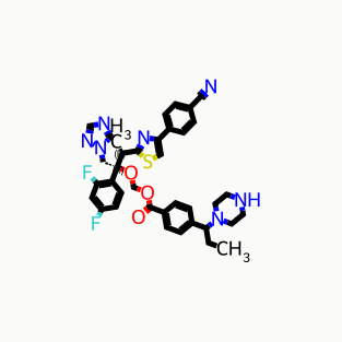 CCC(c1ccc(C(=O)OCO[C@@](Cn2cncn2)(c2ccc(F)cc2F)[C@@H](C)c2nc(-c3ccc(C#N)cc3)cs2)cc1)N1CCNCC1